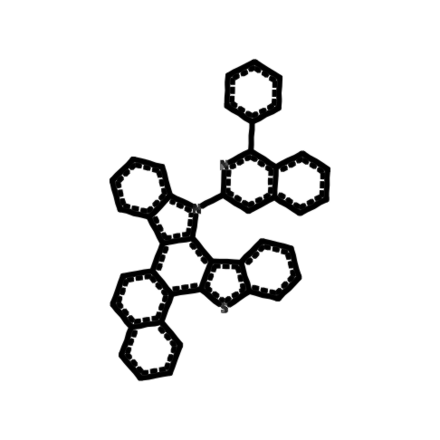 c1ccc(-c2nc(-n3c4ccccc4c4c5ccc6ccccc6c5c5sc6ccccc6c5c43)cc3ccccc23)cc1